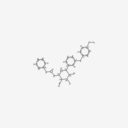 CCc1ccc(Cc2cccc(C3OC(COCc4ccccc4)C(F)C(C)C3C)c2)cc1